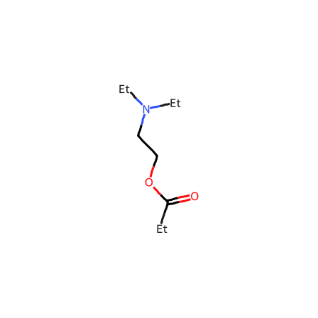 CCC(=O)OCCN(CC)CC